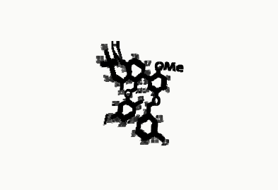 COc1ccc(OCc2cccc(C)c2)cc1-c1ccc2c(c1COc1cc(F)ccc1C)C(C)=CC(C)(C)N2